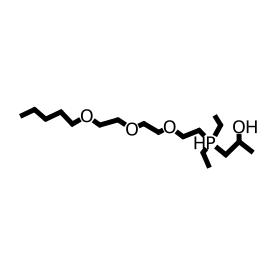 CCCCCOCCOCCOCC[PH](CC)(CC)CC(C)O